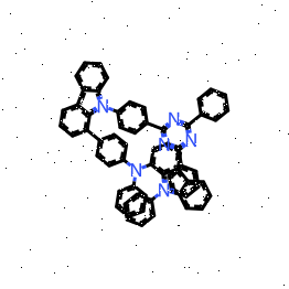 c1ccc(-c2nc(-c3ccccc3)nc(-c3ccc(-n4c5ccccc5c5cccc(-c6ccc(N(c7ccccc7)c7cccc8c9ccccc9n(-c9ccccc9)c78)cc6)c54)cc3)n2)cc1